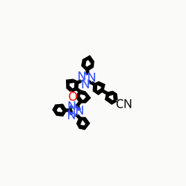 N#Cc1ccc(-c2ccc(-c3nc(-c4ccccc4)nc(-c4cccc5oc6c(-c7nc(-c8ccccc8)nc(-c8ccccc8)n7)cccc6c45)n3)cc2)cc1